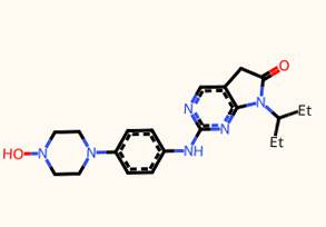 CCC(CC)N1C(=O)Cc2cnc(Nc3ccc(N4CCN(O)CC4)cc3)nc21